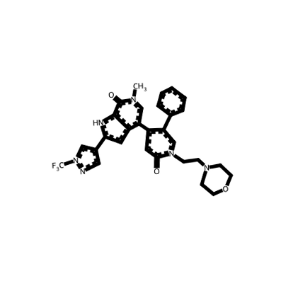 Cn1cc(-c2cc(=O)n(CCN3CCOCC3)cc2-c2ccccc2)c2cc(-c3cnn(C(F)(F)F)c3)[nH]c2c1=O